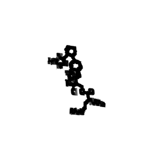 CCCCc1nc(Cl)c(COC(=O)C(CCSC)NC)n1Cc1ccc(-c2ccccc2-c2nn[nH]n2)cc1